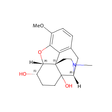 COc1ccc2c3c1O[C@H]1[C@@H](O)CCC4(O)[C@@H](C2)N(C)CC[C@]314